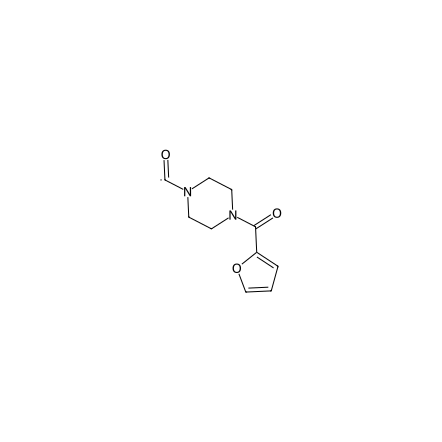 O=[C]N1CCN(C(=O)c2ccco2)CC1